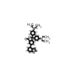 CCN(CC)c1ccc(C2(c3ccc(N(CC)CC)cc3)OC(=O)c3cc(-c4cccc5snnc45)ccc32)cc1